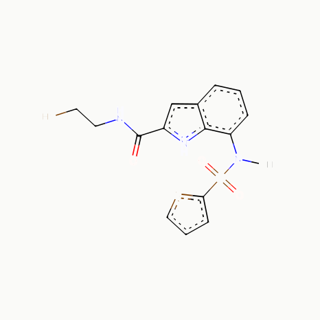 CN(c1cccc2cc(C(=O)NCCS)[nH]c12)S(=O)(=O)c1cccs1